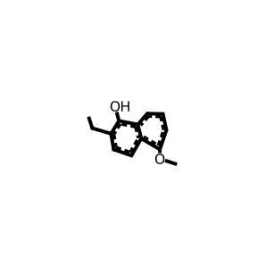 CCc1ccc2c(OC)cccc2c1O